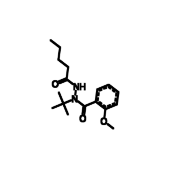 CCCCC(=O)NN(C(=O)c1ccccc1OC)C(C)(C)C